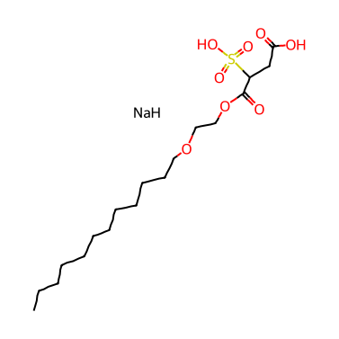 CCCCCCCCCCCCOCCOC(=O)C(CC(=O)O)S(=O)(=O)O.[NaH]